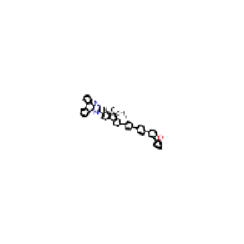 CC1(C)c2cc(-c3ccc(-c4ccc(-c5ccc6oc7ccccc7c6c5)cc4)cc3)ccc2-c2ccc(-c3cnc4c5ccccc5c5ccccc5c4n3)cc21